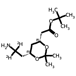 [2H]C([2H])(N)C[C@@H]1C[C@H](CC(=O)OC(C)(C)C)OC(C)(C)O1